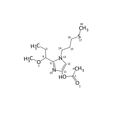 CC(=O)O.CCC(OC)c1nccn1CCCSC